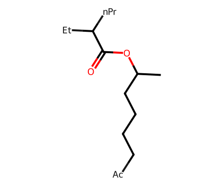 CCCC(CC)C(=O)OC(C)CCCCC(C)=O